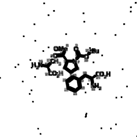 COC(=O)[C@@H]1CCCN1C(=O)OC(C)(C)C.C[C@H](N)C(=O)O.N[C@@H](Cc1ccccc1)C(=O)O